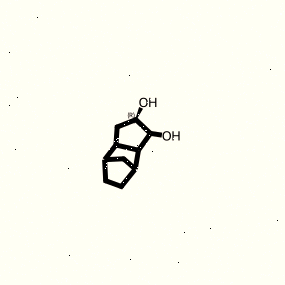 OC1C2C3CCC(C3)C2C[C@H]1O